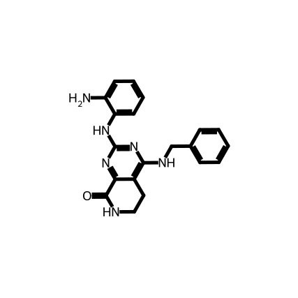 Nc1ccccc1Nc1nc(NCc2ccccc2)c2c(n1)C(=O)NCC2